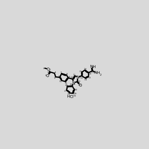 COC(=O)CCc1ccc(-c2cn(-c3ccc(C(=N)N)cc3)c(=O)n2-c2ccccc2)cc1.Cl